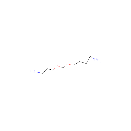 NCCCCOCOCCCN